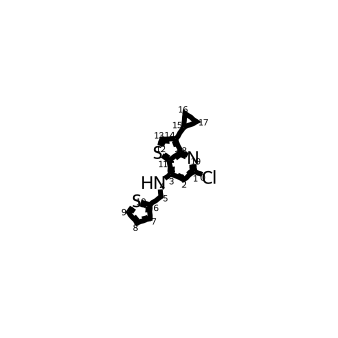 Clc1cc(NCc2cccs2)c2scc(C3CC3)c2n1